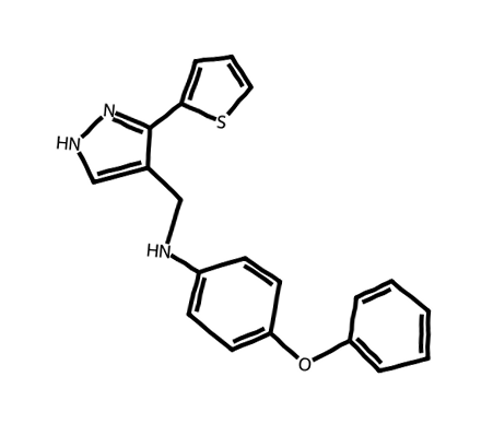 c1ccc(Oc2ccc(NCc3c[nH]nc3-c3cccs3)cc2)cc1